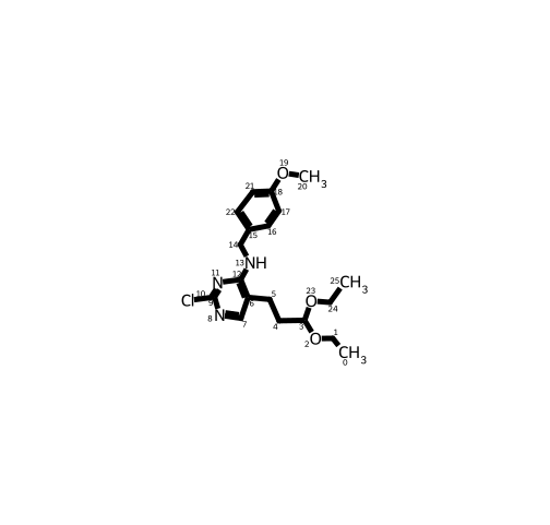 CCOC(CCc1cnc(Cl)nc1NCc1ccc(OC)cc1)OCC